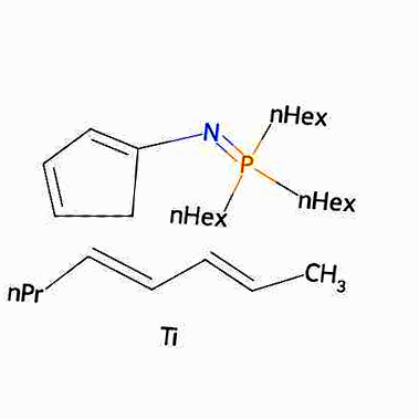 CC=CC=CCCC.CCCCCCP(CCCCCC)(CCCCCC)=NC1=CC=CC1.[Ti]